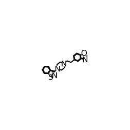 c1ccc2c(N3CCN(CCc4ccc5ocnc5c4)CC3)nsc2c1